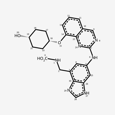 O=C(O)NCc1cc(Nc2ncc3cccc(O[C@H]4CC[C@@H](O)CC4)c3n2)cc2[nH]cnc12